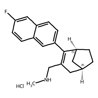 CNCC1=C(c2ccc3cc(F)ccc3c2)[C@H]2CC[C@@H](C1)C2.Cl